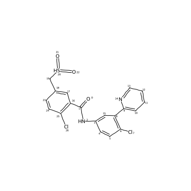 O=C(Nc1ccc(Cl)c(-c2ccccn2)c1)c1cc(C[SH](=O)=O)ccc1Cl